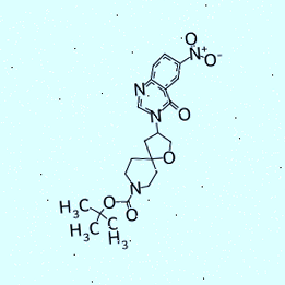 CC(C)(C)OC(=O)N1CCC2(CC1)CC(n1cnc3ccc([N+](=O)[O-])cc3c1=O)CO2